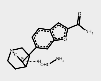 NC(=O)c1cc2ccc([C@@H]3CN4CCC3CC4)cc2o1.NC=O